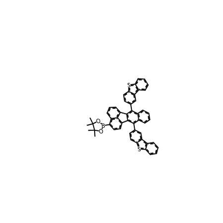 CC1(C)OB(c2ccc3c4c(cccc24)-c2c-3c(-c3ccc4sc5ccccc5c4c3)c3ccccc3c2-c2ccc3sc4ccccc4c3c2)OC1(C)C